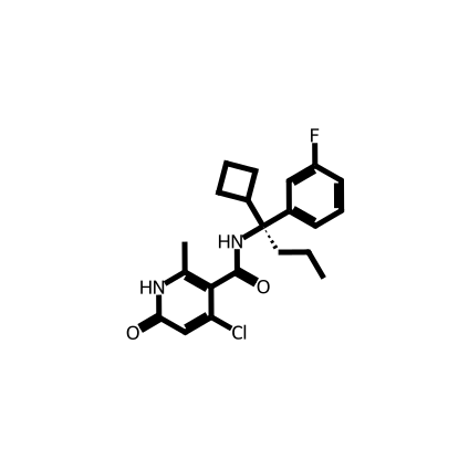 CCC[C@@](NC(=O)c1c(Cl)cc(=O)[nH]c1C)(c1cccc(F)c1)C1CCC1